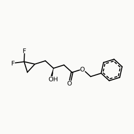 O=C(C[C@@H](O)CC1CC1(F)F)OCc1ccccc1